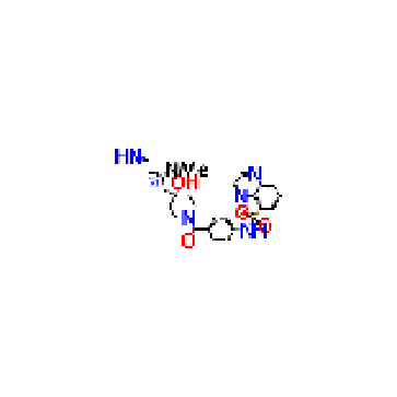 CN/C(=C\C=N)CC1(O)CCN(C(=O)c2ccc(NS(=O)(=O)c3cccc4nccnc34)cc2)CC1